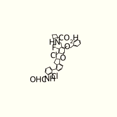 O=CNc1cccc(-c2cccc3c2CCC3Oc2cc(OCc3ccccc3)c(CNC3(C(=O)O)CCC3)c(F)c2Cl)c1Cl